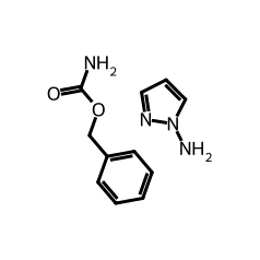 NC(=O)OCc1ccccc1.Nn1cccn1